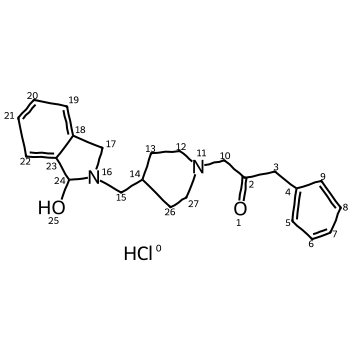 Cl.O=C(Cc1ccccc1)CN1CCC(CN2Cc3ccccc3C2O)CC1